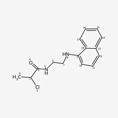 CC(Cl)C(=O)NCCNc1cccc2ccccc12